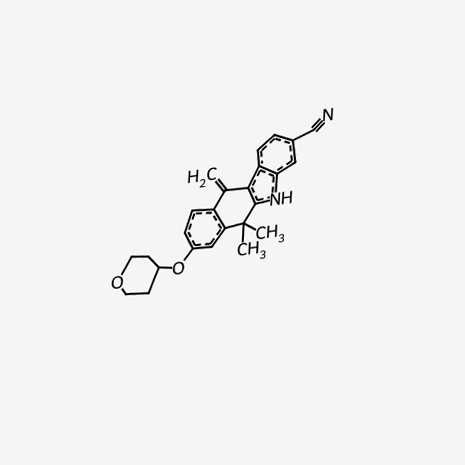 C=C1c2ccc(OC3CCOCC3)cc2C(C)(C)c2[nH]c3cc(C#N)ccc3c21